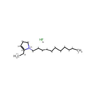 CCCCCCCCCCCN1CCC=C1CC.F